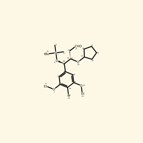 CCOc1cc([C@@H](O[Si](C)(C)C(C)(C)C)[C@H](CC=O)OC2CCCC2)cc(OCC)c1Br